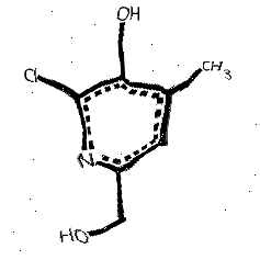 Cc1cc(CO)nc(Cl)c1O